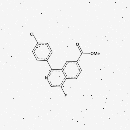 COC(=O)c1ccc2c(F)cnc(-c3ccc(Cl)cc3)c2c1